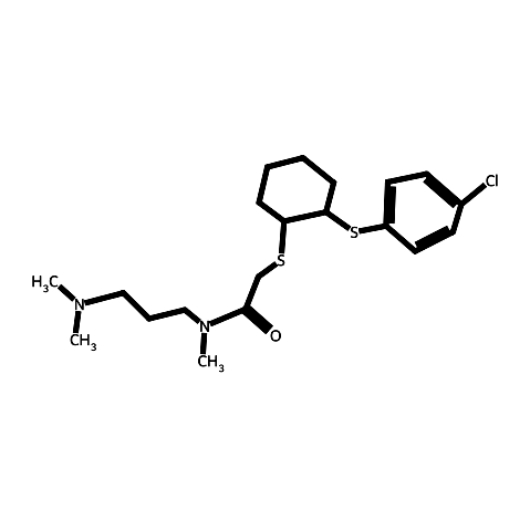 CN(C)CCCN(C)C(=O)CSC1CCCCC1Sc1ccc(Cl)cc1